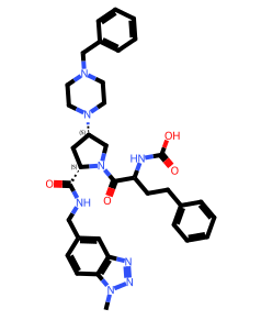 Cn1nnc2cc(CNC(=O)[C@@H]3C[C@H](N4CCN(Cc5ccccc5)CC4)CN3C(=O)C(CCc3ccccc3)NC(=O)O)ccc21